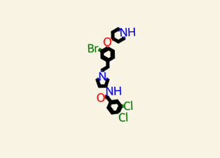 O=C(N[C@H]1CCN(CCc2ccc(OC3CCNCC3)c(Br)c2)C1)c1ccc(Cl)c(Cl)c1